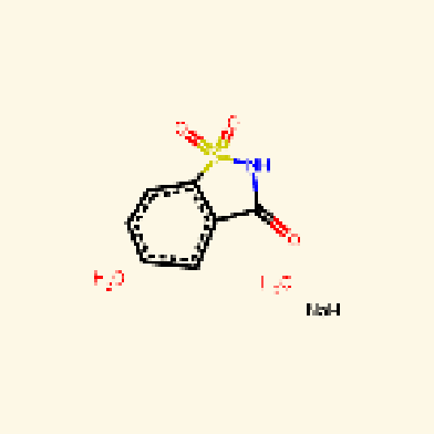 O.O.O=C1NS(=O)(=O)c2ccccc21.[NaH]